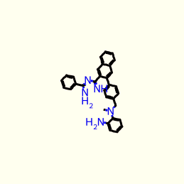 CN(Cc1ccc(-c2cc3ccccc3cc2C(=N)/N=C(\N)c2ccccc2)cc1)c1ccccc1N